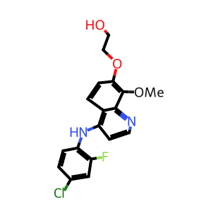 COc1c(OCCO)ccc2c(Nc3ccc(Cl)cc3F)ccnc12